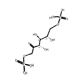 O=C(COP(=O)(O)O)[C@@H](O)[C@@H](O)[C@@H](O)COP(=O)(O)O